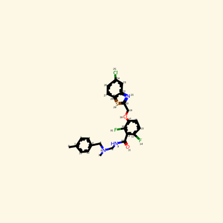 Cc1ccc(CN(C)CNC(=O)c2c(F)ccc(OCc3nc4cc(Cl)ccc4s3)c2F)cc1